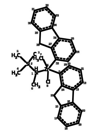 C[SiH]([Si](C)(C)C)[Zr]([Cl])([Cl])([c]1cccc2c1Cc1ccccc1-2)[c]1cccc2c1Cc1ccccc1-2